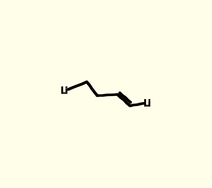 [Li][CH]=CC[CH2][Li]